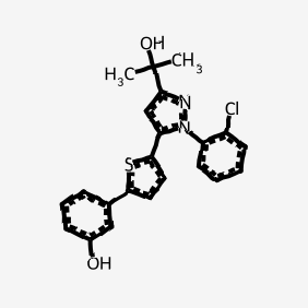 CC(C)(O)c1cc(-c2ccc(-c3cccc(O)c3)s2)n(-c2ccccc2Cl)n1